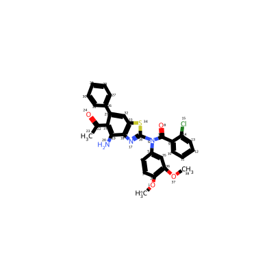 COc1ccc(N(C(=O)c2ccccc2Cl)c2nc3c(N)c(C(C)=O)c(-c4ccccc4)cc3s2)cc1OC